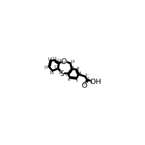 O=C(O)Cc1ccc2c(c1)COC1=CC=CCC1S2